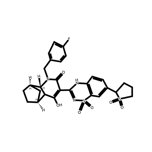 O=C1C(C2=NS(=O)(=O)c3cc(C4CCCS4(=O)=O)ccc3N2)=C(O)C2[C@H]3CC[C@H](C3)[C@@H]2N1Cc1ccc(F)cc1